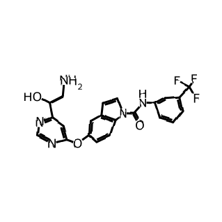 NCC(O)c1cc(Oc2ccc3c(ccn3C(=O)Nc3cccc(C(F)(F)F)c3)c2)ncn1